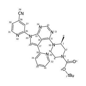 C[C@H]1CN(C(=O)OC(C)(C)C)CCN1c1ncnc2c1c(-c1ccccn1)cn2-c1cc(C#N)ccn1